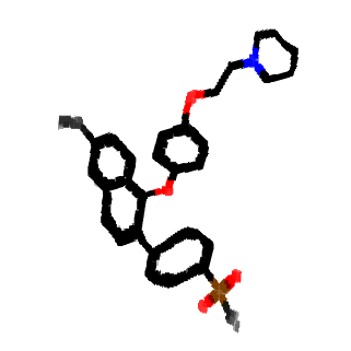 COc1ccc2c(Oc3ccc(OCCN4CCCCC4)cc3)c(-c3ccc(S(=O)(=O)C(F)(F)F)cc3)ccc2c1